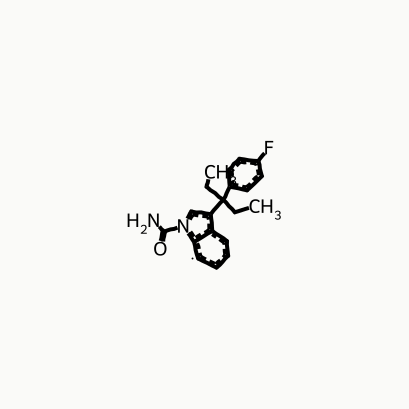 CCC(CC)(c1ccc(F)cc1)c1cn(C(N)=O)c2[c]cccc12